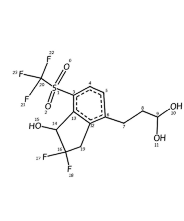 O=S(=O)(c1ccc(CCC(O)O)c2c1C(O)C(F)(F)C2)C(F)(F)F